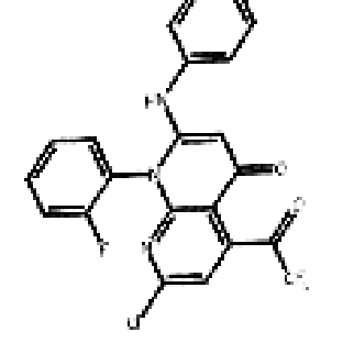 O=C(c1cc(Cl)nc2c1c(=O)cc(Nc1ccccc1)n2-c1ccccc1F)C(F)(F)F